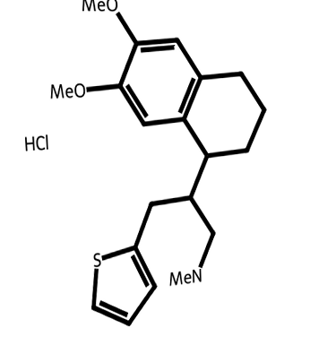 CNCC(Cc1cccs1)C1CCCc2cc(OC)c(OC)cc21.Cl